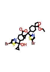 CCOC(=O)C1(CC)CCC(C(OC(=O)C2CCC(C(O)(c3ncc(Br)s3)C3CC3)CC2)(c2ncc(Br)s2)C2CC2)CC1